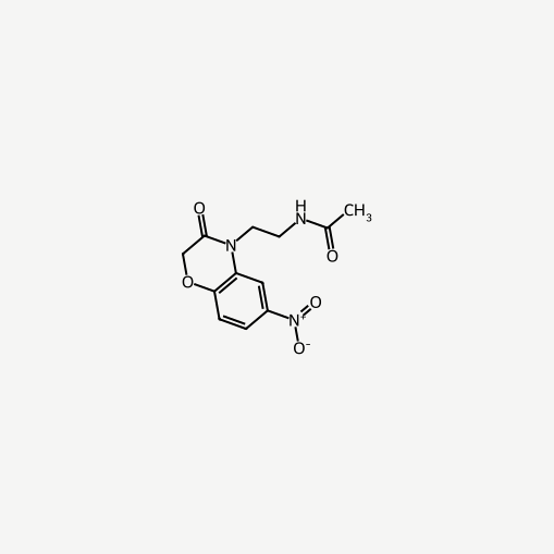 CC(=O)NCCN1C(=O)COc2ccc([N+](=O)[O-])cc21